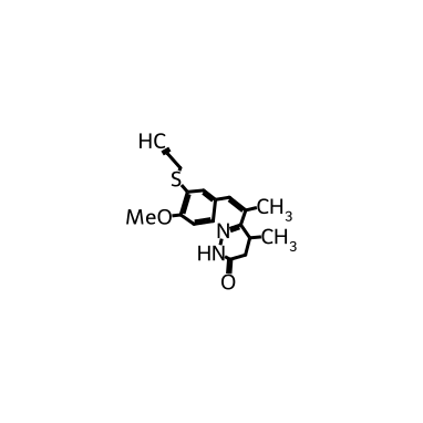 C#CCSc1cc(C=C(C)C2=NNC(=O)CC2C)ccc1OC